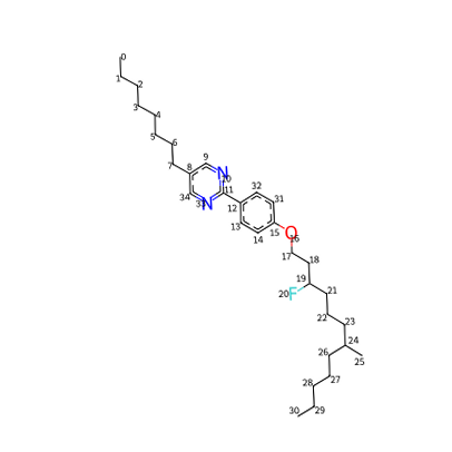 CCCCCCCCc1cnc(-c2ccc(OCCC(F)CCCC(C)CCCCC)cc2)nc1